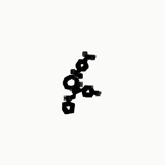 O=[N+]([O-])c1ccc(S(=O)(=O)N2CCCCN3[C@H](CNc4ccccc4)[C@H](c4ccc(Br)nc4)[C@@H]3C2)cc1